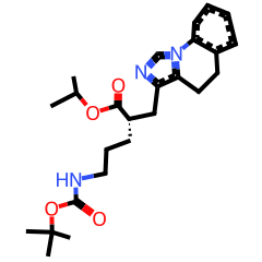 CC(C)OC(=O)[C@@H](CCCNC(=O)OC(C)(C)C)Cc1ncn2c1CCc1ccccc1-2